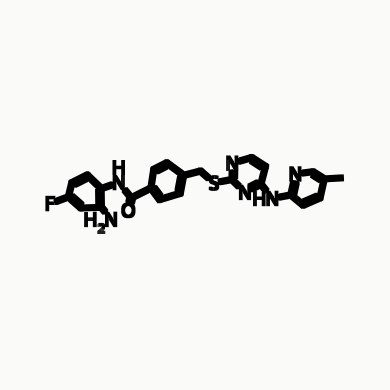 Cc1ccc(Nc2ccnc(SCc3ccc(C(=O)Nc4ccc(F)cc4N)cc3)n2)nc1